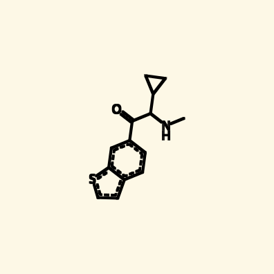 CNC(C(=O)c1ccc2ccsc2c1)C1CC1